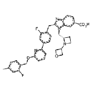 Cc1ccc(COc2cccc(-c3ccc(Cc4nc5ccc(C(=O)O)cc5n4C[C@@H]4CCN4C4COC4)c(F)c3)n2)c(F)c1